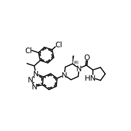 CC(c1ccc(Cl)cc1Cl)n1nnc2ccc(N3CCN(C(=O)C4CCCN4)[C@H](C)C3)cc21